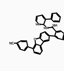 N#Cc1ccc(-c2cccc3c2oc2ccc(-c4ccccc4C(=N)NC4NC=CC=C4c4ccccc4)cc23)cc1